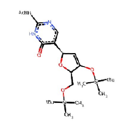 CC(=O)Nc1ncc([C@H]2C=C(O[Si](C)(C)C(C)(C)C)[C@@H](CO[Si](C)(C)C(C)(C)C)O2)c(=O)[nH]1